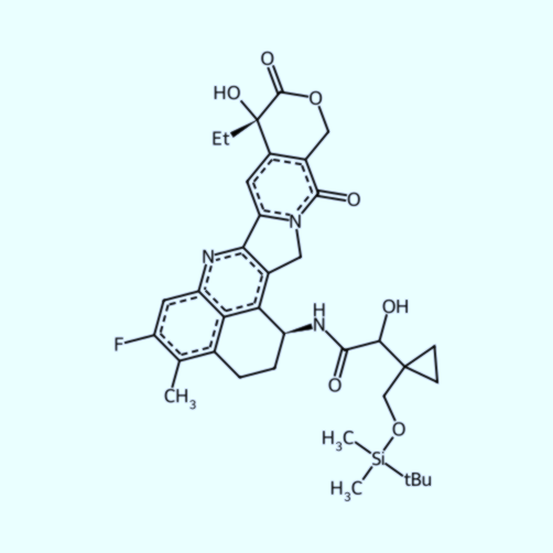 CC[C@@]1(O)C(=O)OCc2c1cc1n(c2=O)Cc2c-1nc1cc(F)c(C)c3c1c2[C@@H](NC(=O)C(O)C1(CO[Si](C)(C)C(C)(C)C)CC1)CC3